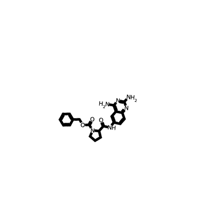 Nc1nc(N)c2cc(NC(=O)C3CCCN3C(=O)OCc3ccccc3)ccc2n1